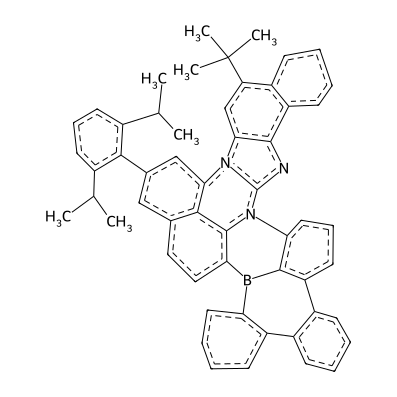 CC(C)c1cccc(C(C)C)c1-c1cc2ccc3c4c2c(c1)n1c2cc(C(C)(C)C)c5ccccc5c2nc1n4-c1cccc2c1B3c1ccccc1-c1ccccc1-2